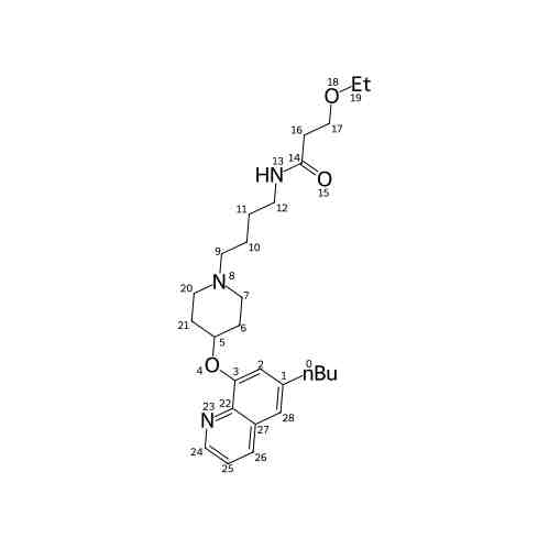 CCCCc1cc(OC2CCN(CCCCNC(=O)CCOCC)CC2)c2ncccc2c1